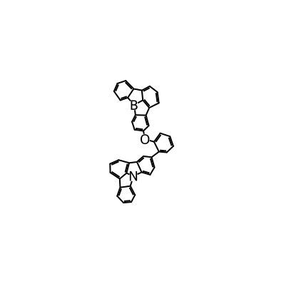 c1ccc(-c2ccc3c(c2)c2cccc4c5ccccc5n3c42)c(Oc2ccc3c(c2)-c2cccc4c2B3c2ccccc2-4)c1